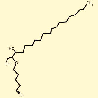 CCCCCCCCCCCCCCCCC(O)C(CO)OCCCCC=O